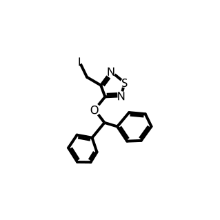 ICc1nsnc1OC(c1ccccc1)c1ccccc1